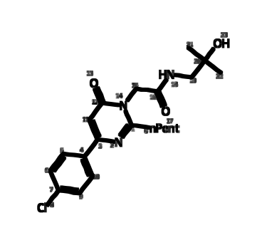 CCCCCc1nc(-c2ccc(Cl)cc2)cc(=O)n1CC(=O)NCC(C)(C)O